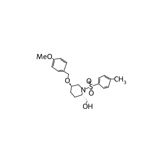 COc1ccc(CO[C@@H]2CC[C@@H](CO)N(S(=O)(=O)c3ccc(C)cc3)C2)cc1